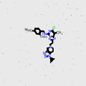 COc1ccc(CNc2nc(Cl)c(C)c3nc(CCN4CCc5c(nnn5C5CC5)C4)nn23)c(OC)c1